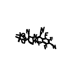 CC1(C)OB(c2ccc3c(c2C#N)=N/C(=C(\C#N)c2c(F)c(F)c(C#N)c(F)c2F)N=3)OC1(C)C